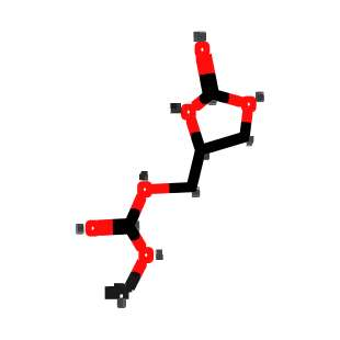 CCCOC(=O)OCC1COC(=O)O1